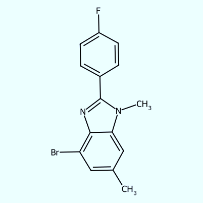 Cc1cc(Br)c2nc(-c3ccc(F)cc3)n(C)c2c1